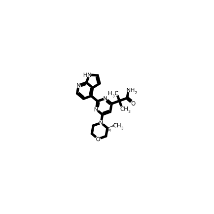 C[C@@H]1COCCN1c1cc(C(C)(C)C(N)=O)nc(-c2ccnc3[nH]ccc23)n1